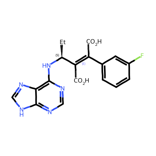 CC[C@H](Nc1ncnc2[nH]cnc12)/C(C(=O)O)=C(\C(=O)O)c1cccc(F)c1